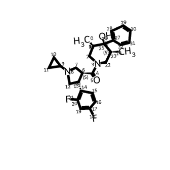 C[C@@H]1CN(C(=O)[C@@H]2CN(C3CC3)C[C@H]2c2ccc(F)cc2F)C[C@H](C)[C@@]1(O)c1ccccc1